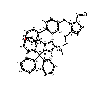 CCCc1ccc(C=O)n1Cc1ccc(-c2ccccc2-c2nnnn2C(c2ccccc2)(c2ccccc2)c2ccccc2)cc1